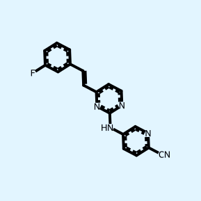 N#Cc1ccc(Nc2nccc(C=Cc3cccc(F)c3)n2)cn1